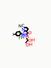 N#Cc1ccc(C(=O)NOC[C@@H](O)CO)c(Nc2ccc(I)cc2F)n1